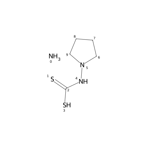 N.S=C(S)NN1CCCC1